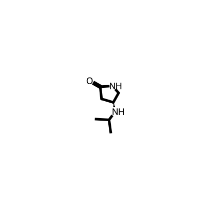 CC(C)N[C@H]1CNC(=O)C1